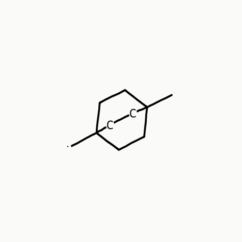 [CH2]C12CCC(C)(CC1)CC2